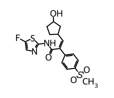 CS(=O)(=O)c1ccc(C(=CC2CCC(O)C2)C(=O)Nc2ncc(F)s2)cc1